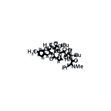 CC[C@H](C)[C@H](NC(=O)[C@H](CC(C)C)NC)C(=O)N(C)[C@@H](C)C(=O)N1CC[C@H]1C(=O)N(CC)[C@@H](Cc1ccc(C)cc1)C(=O)N(C)CC(=O)OC(C)(C)C